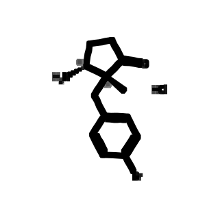 C[C@]1(Cc2ccc(Br)cc2)C(=O)CC[C@H]1N.Cl